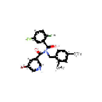 COc1ccc(CN(C(=O)c2cncc(Br)c2)C(=O)c2cc(F)ccc2Cl)c(OC)c1